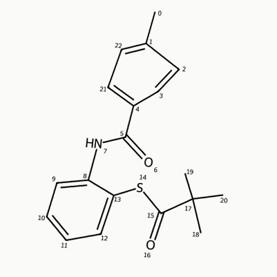 Cc1ccc(C(=O)Nc2ccccc2SC(=O)C(C)(C)C)cc1